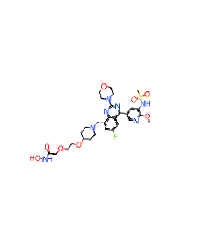 COc1ncc(-c2nc(N3CCOCC3)nc3c(CN4CCC(OCCOCC(=O)NO)CC4)cc(F)cc23)cc1NS(C)(=O)=O